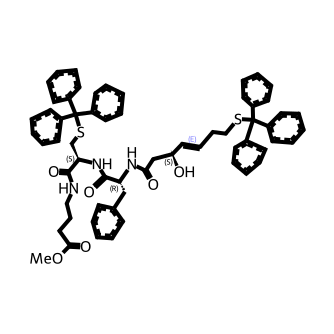 COC(=O)CCCNC(=O)[C@@H](CSC(c1ccccc1)(c1ccccc1)c1ccccc1)NC(=O)[C@@H](Cc1ccccc1)NC(=O)C[C@H](O)/C=C/CCSC(c1ccccc1)(c1ccccc1)c1ccccc1